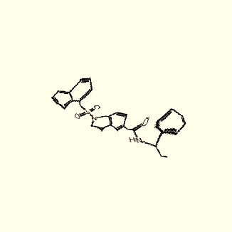 CCC(NC(=O)c1ccc2c(c1)CCN2S(=O)(=O)c1cccc2ccccc12)c1ccccc1